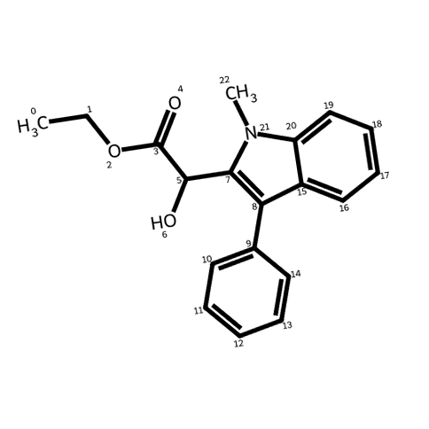 CCOC(=O)C(O)c1c(-c2ccccc2)c2ccccc2n1C